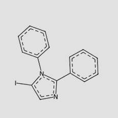 Ic1cnc(-c2ccccc2)n1-c1ccccc1